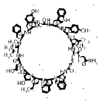 CCCC[C@H]1C(=O)N2C[C@H](O)C[C@@H]2C(=O)N[C@@H](CC(=O)O)C(=O)N[C@@H](C(C)C)C(=O)N(C)[C@@H](Cc2ccccc2)C(=O)N[C@@H](Cc2ccc(O)cc2)C(=O)N(C)CC(=O)N[C@@H](Cc2c[nH]c3ccccc23)C(=O)N[C@@H](Cc2ccc(O)cc2)C(=O)N[C@@H](CC(C)C)C(=O)N[C@H](C(=O)NCC(N)=O)CSCC(=O)N[C@@H](Cc2ccccc2)C(=O)N(C)C(Cc2ccccc2)C(=O)N1C